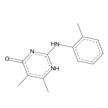 Cc1ccccc1Nc1nc(=O)c(C)c(C)[nH]1